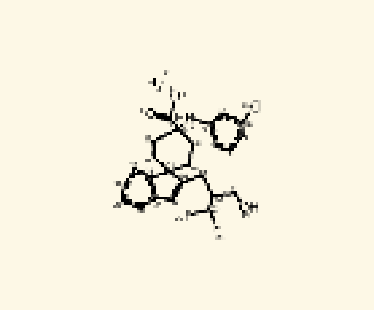 COC(=O)C1(Nc2cccc(Cl)c2)CCC2(CC1)C(CC(CO)C(F)F)=Cc1ccccc12